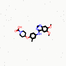 COc1cc2ncnc(Nc3ccc(OC4CCN(C(=O)O)CC4)c(C)c3)c2cc1OC